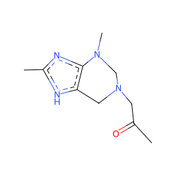 CC(=O)CN1Cc2[nH]c(C)nc2N(C)C1